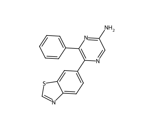 Nc1cnc(-c2ccc3ncsc3c2)c(-c2ccccc2)n1